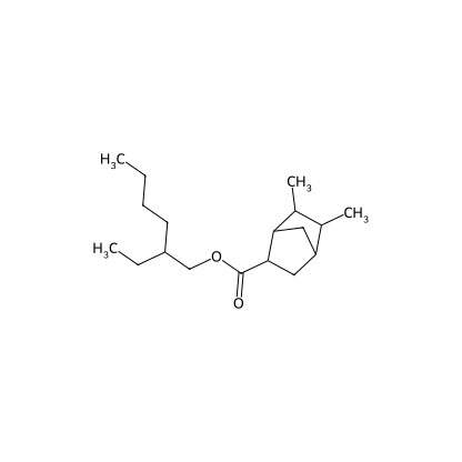 CCCCC(CC)COC(=O)C1CC2CC1C(C)C2C